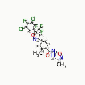 CC1=NOC(NC(=O)c2ccc(C3=NO[C@@](c4cc(Cl)c(F)c(Cl)c4)(C(F)(F)F)C3)cc2C)C1